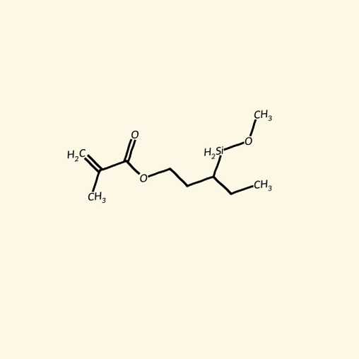 C=C(C)C(=O)OCCC(CC)[SiH2]OC